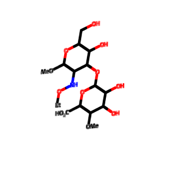 CCONC1C(OC)OC(CO)C(O)C1OC1OC(C(=O)O)C(OC)C(O)C1O